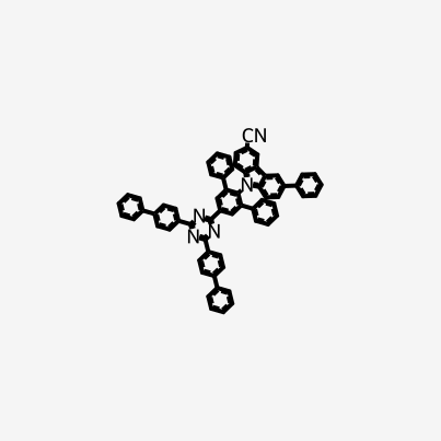 N#Cc1ccc2c(c1)c1cc(-c3ccccc3)ccc1n2-c1c(-c2ccccc2)cc(-c2nc(-c3ccc(-c4ccccc4)cc3)nc(-c3ccc(-c4ccccc4)cc3)n2)cc1-c1ccccc1